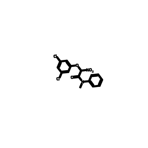 CN(C(=O)C(Oc1cc(Cl)cc(Cl)c1)[N+](=O)[O-])c1ccccc1